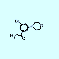 CC(=O)c1cc(Br)cc(N2CCOCC2)c1